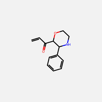 C=CC(=O)C1OCCNC1c1ccccc1